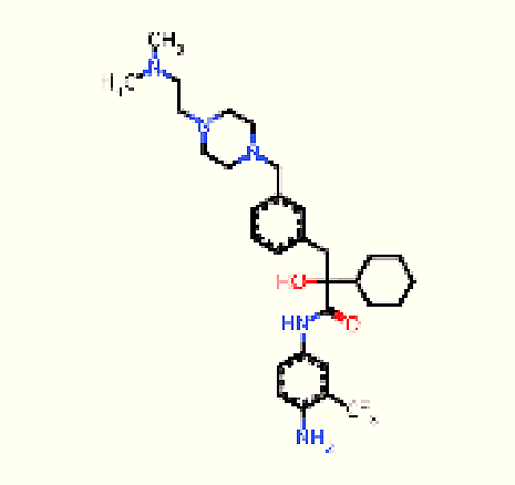 CN(C)CCN1CCN(Cc2cccc(CC(O)(C(=O)Nc3ccc(N)c(C(F)(F)F)c3)C3CCCCC3)c2)CC1